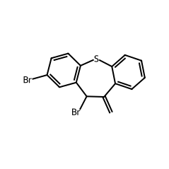 C=C1c2ccccc2Sc2ccc(Br)cc2C1Br